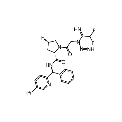 CC(C)c1ccc([C@@H](NC(=O)[C@@H]2C[C@@H](F)CN2C(=O)CN(N=N)C(=N)C(F)F)c2ccccc2)nc1